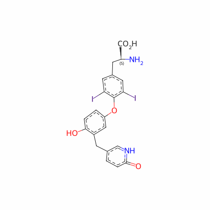 N[C@@H](Cc1cc(I)c(Oc2ccc(O)c(Cc3ccc(=O)[nH]c3)c2)c(I)c1)C(=O)O